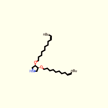 CCCC/C=C\CCCCCCCCO[C@@H]1CNC[C@H]1OCCCCCCCC/C=C\CCCC